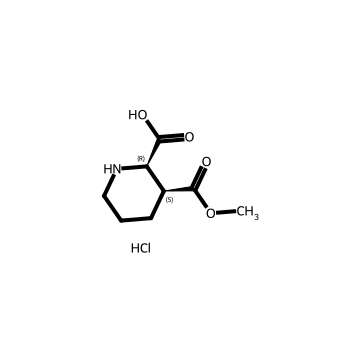 COC(=O)[C@H]1CCCN[C@H]1C(=O)O.Cl